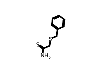 NC(=S)CSCc1ccccc1